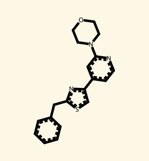 c1ccc(Cc2nc(-c3ccnc(N4CCOCC4)c3)cs2)cc1